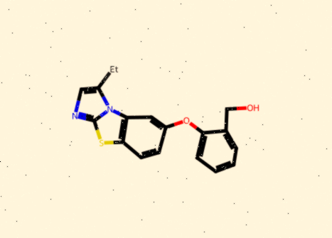 CCc1cnc2sc3ccc(Oc4ccccc4CO)cc3n12